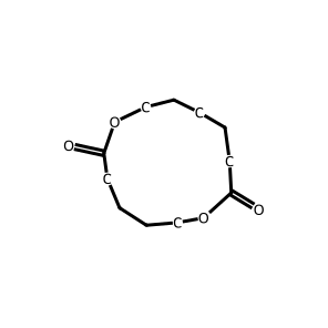 O=C1CCCCCOC(=O)CCCCO1